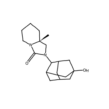 C[C@]12CCCCN1C(=O)N(C1C3CC4CC1CC(O)(C4)C3)C2